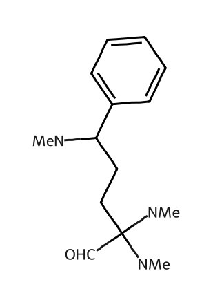 CNC(CCC(C=O)(NC)NC)c1ccccc1